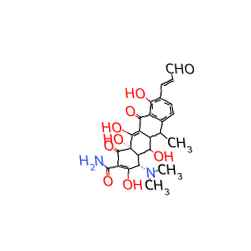 CC1c2ccc(C=CC=O)c(O)c2C(=O)C2=C(O)[C@]3(O)C(=O)C(C(N)=O)=C(O)[C@@H](N(C)C)C3C(O)C21